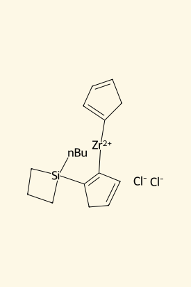 CCCC[Si]1(C2=[C]([Zr+2][C]3=CC=CC3)C=CC2)CCC1.[Cl-].[Cl-]